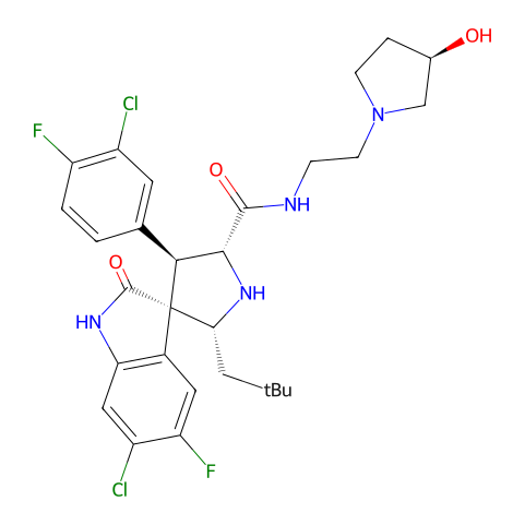 CC(C)(C)C[C@H]1N[C@@H](C(=O)NCCN2CC[C@@H](O)C2)[C@H](c2ccc(F)c(Cl)c2)[C@@]12C(=O)Nc1cc(Cl)c(F)cc12